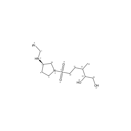 CC(C)CN[C@@H]1CCN(S(=O)(=O)CCC(C)C(O)CO)C1